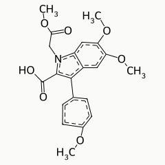 COC(=O)Cn1c(C(=O)O)c(-c2ccc(OC)cc2)c2cc(OC)c(OC)cc21